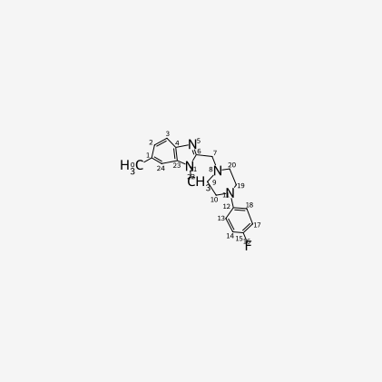 Cc1ccc2nc(CN3CCN(c4ccc(F)cc4)CC3)n(C)c2c1